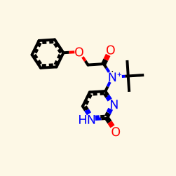 CC(C)(C)[N+](C(=O)COc1ccccc1)c1cc[nH]c(=O)n1